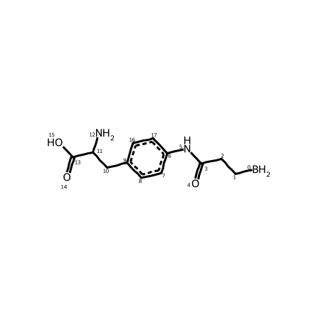 BCCC(=O)Nc1ccc(CC(N)C(=O)O)cc1